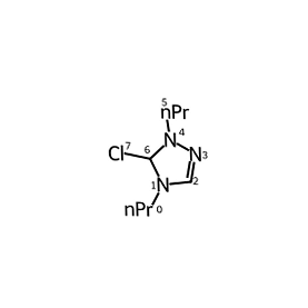 CCCN1C=NN(CCC)C1Cl